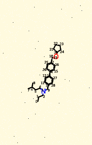 CCCN(CCC(C)C)Cc1ccc(-c2ccc(COC3CCCC3)cc2)cc1